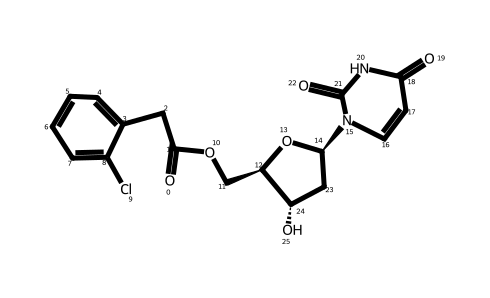 O=C(Cc1ccccc1Cl)OC[C@H]1O[C@@H](n2ccc(=O)[nH]c2=O)C[C@@H]1O